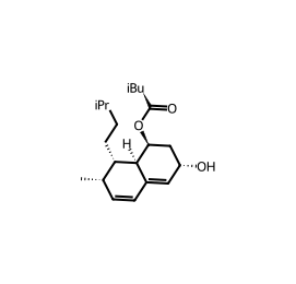 CC[C@H](C)C(=O)O[C@H]1C[C@H](O)C=C2C=C[C@H](C)[C@H](CCC(C)C)[C@H]21